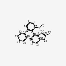 CCc1ccccc1-c1c(-c2ccccc2)ccc2c1C=C(C)[CH]2